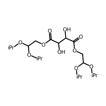 CC(C)OC(COC(=O)C(O)C(O)C(=O)OCC(OC(C)C)OC(C)C)OC(C)C